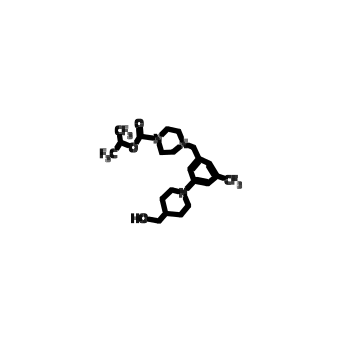 O=C(OC(C(F)(F)F)C(F)(F)F)N1CCN(Cc2cc(N3CCC(CO)CC3)cc(C(F)(F)F)c2)CC1